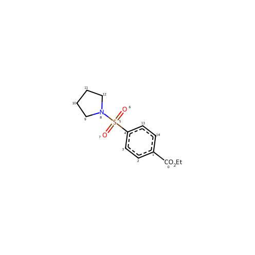 CCOC(=O)c1ccc(S(=O)(=O)N2CCCC2)cc1